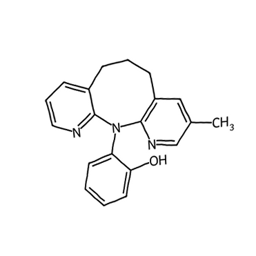 Cc1cnc2c(c1)CCCc1cccnc1N2c1ccccc1O